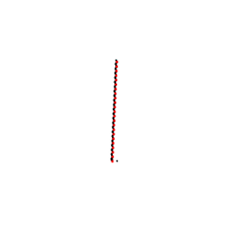 [CH]=CCCCCCCCCCCCCCCCCCCCCCCCCCCCCCCCCCCCCCCCCCCCC